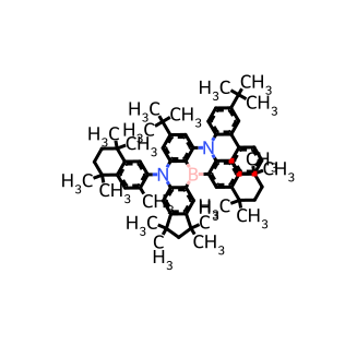 Cc1cc2c(cc1N1c3cc4c(cc3B3c5cc6c(cc5N(c5ccc(C(C)(C)C)cc5-c5ccccc5)c5cc(C(C)(C)C)cc1c53)C(C)(C)CCC6(C)C)C(C)(C)CC4(C)C)C(C)(C)CCC2(C)C